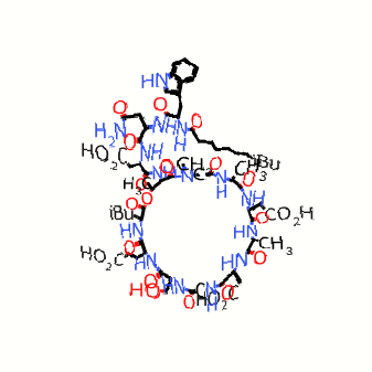 CCC(C)CCCCCCC(=O)NC(Cc1c[nH]c2ccccc12)C(=O)NC(CC(N)=O)C(=O)NC(CC(=O)O)C(=O)NC1C(=O)N(C)CC(=O)NC(C)C(=O)NC(CC(=O)O)C(=O)NC(C)C(=O)NC(CC(=O)O)C(=O)NCC(=O)NC(CO)C(=O)NC(CCC(=O)O)C(=O)NC(C(C)CC)C(=O)OC1C